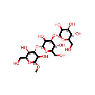 CO[C@H]1OC(CO)[C@@H](O)[C@H](O[C@H]2OC(CO)[C@@H](O)[C@H](O[C@H]3OC(CO)[C@@H](O)[C@H](O)C3O)C2O)C1O